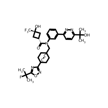 CC(C)(O)c1ccc(-c2cccc(N(CC34CCC(c5noc(C(C)(C)F)n5)(CC3)CC4)C(=O)[C@H]3C[C@](O)(C(F)(F)F)C3)c2)nn1